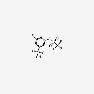 CS(=O)(=O)c1cc(F)[c]c(OS(=O)(=O)C(F)(F)F)c1